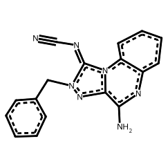 N#C/N=c1\n(Cc2ccccc2)nc2c(N)nc3ccccc3n12